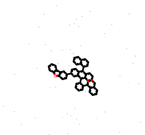 c1ccc(-c2c3ccccc3c(-c3cccc4ccccc34)c3ccc(-c4ccc5oc6ccccc6c5c4)cc23)c(-c2cccc3ccccc23)c1